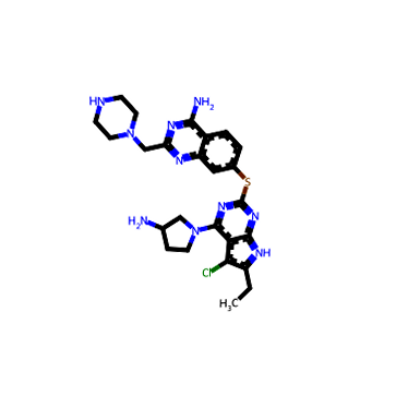 CCc1[nH]c2nc(Sc3ccc4c(N)nc(CN5CCNCC5)nc4c3)nc(N3CCC(N)C3)c2c1Cl